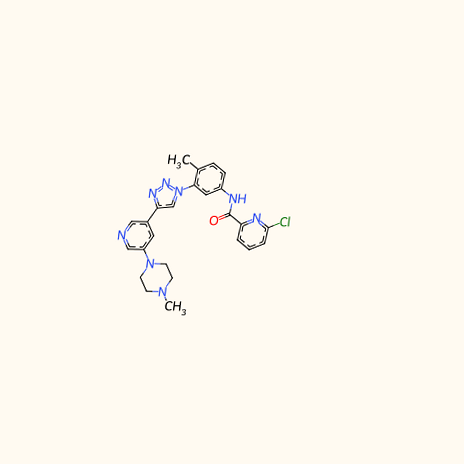 Cc1ccc(NC(=O)c2cccc(Cl)n2)cc1-n1cc(-c2cncc(N3CCN(C)CC3)c2)nn1